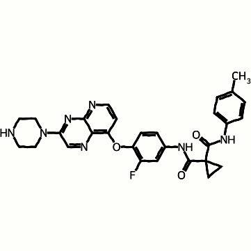 Cc1ccc(NC(=O)C2(C(=O)Nc3ccc(Oc4ccnc5nc(N6CCNCC6)cnc45)c(F)c3)CC2)cc1